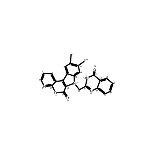 Cc1cc2c3c4cccnc4oc(=O)c3n(Cc3nc4ccccc4c(=O)[nH]3)c2cc1F